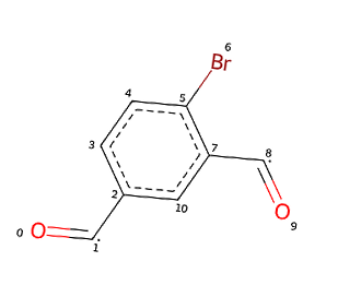 O=[C]c1ccc(Br)c([C]=O)c1